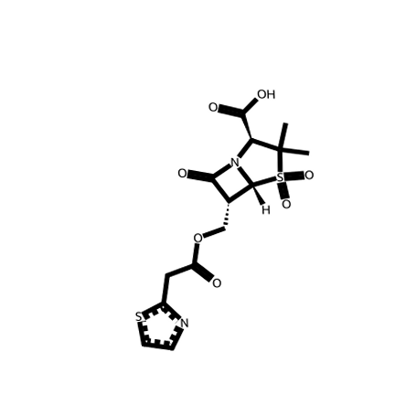 CC1(C)[C@H](C(=O)O)N2C(=O)[C@@H](COC(=O)Cc3nccs3)[C@H]2S1(=O)=O